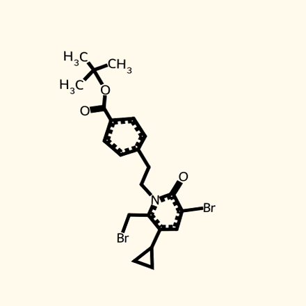 CC(C)(C)OC(=O)c1ccc(CCn2c(CBr)c(C3CC3)cc(Br)c2=O)cc1